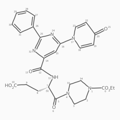 CCOC(=O)N1CCN(C(=O)[C@H](CCC(=O)O)NC(=O)c2cc(-n3ccc(=O)cc3)nc(-c3ccccc3)n2)CC1